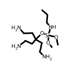 CCCN[Si](OC)(OC)OC(CCN)(CCN)CCN